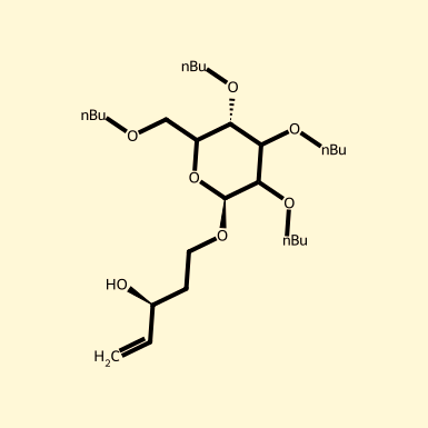 C=C[C@@H](O)CCO[C@H]1OC(COCCCC)[C@H](OCCCC)C(OCCCC)C1OCCCC